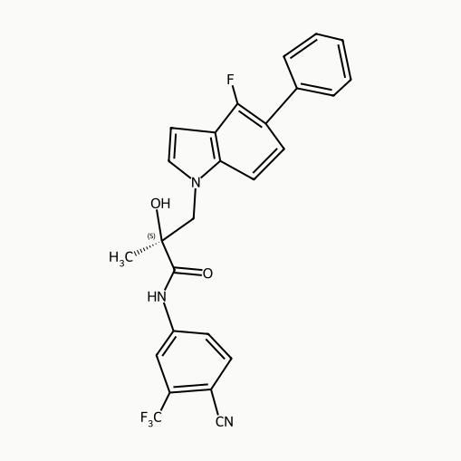 C[C@](O)(Cn1ccc2c(F)c(-c3ccccc3)ccc21)C(=O)Nc1ccc(C#N)c(C(F)(F)F)c1